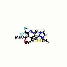 COC(=O)c1c(C(F)F)nc(C(F)(F)F)c(C(S)c2nccn2C)c1CC(C)C